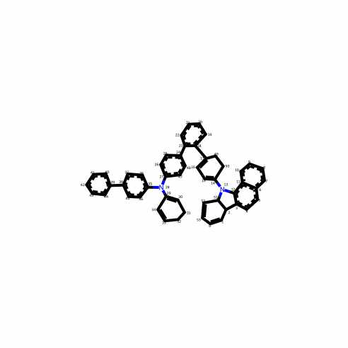 C1=CC2c3ccc4ccccc4c3N(C3=CC=C(c4ccccc4-c4ccc(N(C5=CCCC=C5)c5ccc(-c6ccccc6)cc5)cc4)CC3)C2C=C1